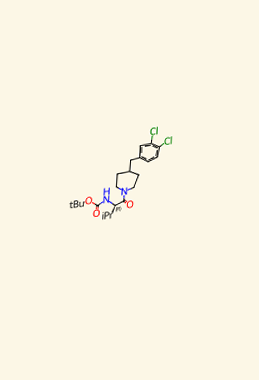 CC(C)[C@@H](NC(=O)OC(C)(C)C)C(=O)N1CCC(Cc2ccc(Cl)c(Cl)c2)CC1